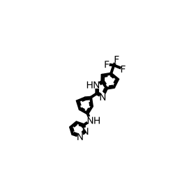 FC(F)(F)c1ccc2nc(-c3cccc(Nc4cccnn4)c3)[nH]c2c1